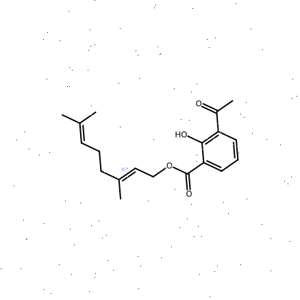 CC(=O)c1cccc(C(=O)OC/C=C(\C)CCC=C(C)C)c1O